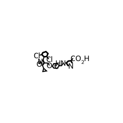 O=C(O)c1cncc(NCC23CCC(OCc4c(-c5c(Cl)cccc5Cl)noc4C4CC4)(CC2)CC3)c1